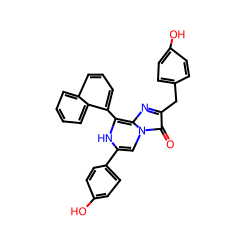 O=c1c(Cc2ccc(O)cc2)nc2c(-c3cccc4ccccc34)[nH]c(-c3ccc(O)cc3)cn1-2